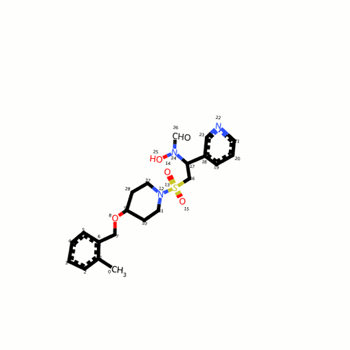 Cc1ccccc1COC1CCN(S(=O)(=O)CC(c2cccnc2)N(O)C=O)CC1